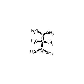 C[Si](C)([SiH]([SiH3])[SiH3])[SiH]([SiH3])[SiH3]